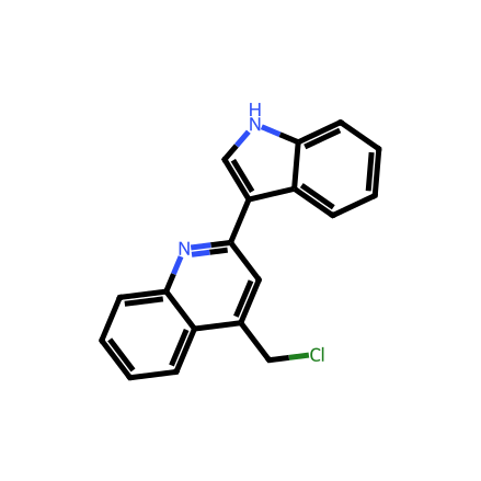 ClCc1cc(-c2c[nH]c3ccccc23)nc2ccccc12